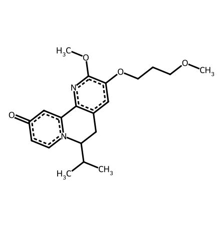 COCCCOc1cc2c(nc1OC)-c1cc(=O)ccn1C(C(C)C)C2